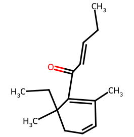 CCC=CC(=O)C1=C(C)C=CCC1(C)CC